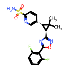 CC1(C)[C@@H](c2ccc(S(N)(=O)=O)nc2)[C@@H]1c1noc(-c2c(F)cccc2F)n1